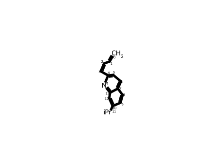 C=C/C=C\c1ccc2ccc(C(C)C)cc2n1